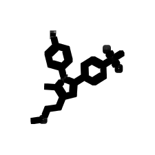 COCCc1cc(-c2ccc(S(C)(=O)=O)cc2)n(-c2ccc(F)cc2)c1C